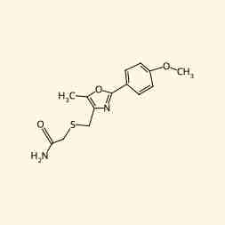 COc1ccc(-c2nc(CSCC(N)=O)c(C)o2)cc1